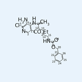 CCOC(=O)c1cnc(Cl)c(N)c1N[C@@H](C)CCCCNC(=O)OCc1ccccc1